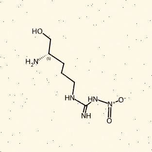 N=C(NCCC[C@H](N)CO)N[N+](=O)[O-]